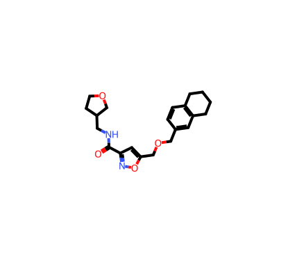 O=C(NCC1CCOC1)c1cc(COCc2ccc3c(c2)CCCC3)on1